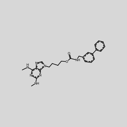 CNc1nc(NC)c2ncn(CCCCOC(=O)NCc3cccc(-c4ccccc4)c3)c2n1